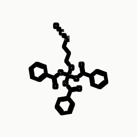 O=C=NCCCO[Si](OC(=O)c1ccccc1)(OC(=O)c1ccccc1)OC(=O)c1ccccc1